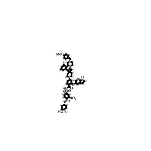 COc1ccc(CN2CCN(C3CC4(CCN(c5ccc(C(=O)NS(=O)(=O)c6ccc(NC[C@H]7CC[C@](C)(O)CC7)c([N+](=O)[O-])c6)c(Oc6cnc7[nH]ccc7c6)c5)CC4)C3)C(c3c(F)cccc3C(C)C)C2)cc1